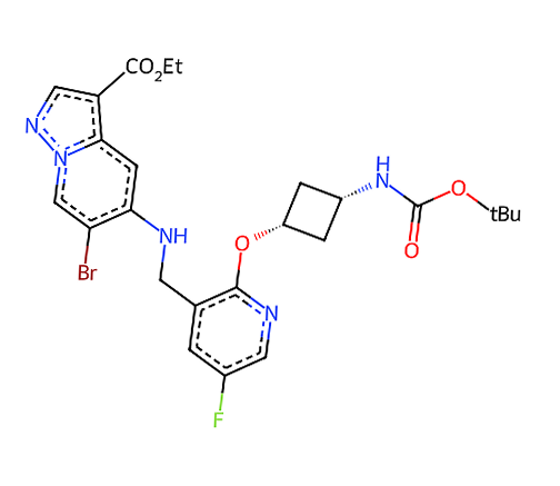 CCOC(=O)c1cnn2cc(Br)c(NCc3cc(F)cnc3O[C@H]3C[C@@H](NC(=O)OC(C)(C)C)C3)cc12